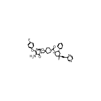 Nc1c(Oc2ccc(F)cc2)ncn(CC2(O)CCN(C(=O)[C@@H]3CC[C@@](F)(C#Cc4cnccn4)C[C@H]3c3ccccc3)CC2)c1=O